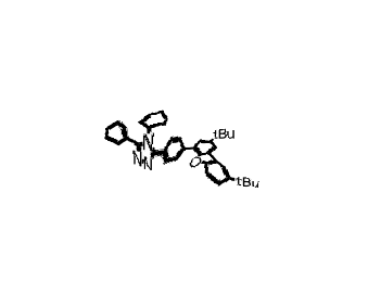 CC(C)(C)c1ccc2oc3c(-c4ccc(-c5nnc(-c6ccccc6)n5-c5ccccc5)cc4)cc(C(C)(C)C)cc3c2c1